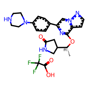 C[C@@H](Oc1nc(-c2ccc(N3CCNCC3)cc2)cn2nccc12)C1CNC(=O)C1.O=C(O)C(F)(F)F